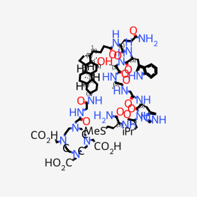 CSCC[C@H](NC(=O)[C@H](CC(C)C)NC(=O)[C@H](Cc1c[nH]cn1)NC(=O)CNC(=O)[C@H](C)NC(=O)[C@H](C)NC(=O)[C@H](Cc1c[nH]c2ccccc12)NC(=O)[C@H](CCC(N)=O)NC(=O)CC[C@@H](C)[C@H]1CC[C@H]2[C@@H]3CC[C@@H]4C[C@@H](NC(=O)CNC(=O)CN5CCN(CC(=O)O)CCN(CC(=O)O)CCN(CC(=O)O)CC5)CC[C@]4(C)[C@H]3C[C@H](O)[C@]12C)C(N)=O